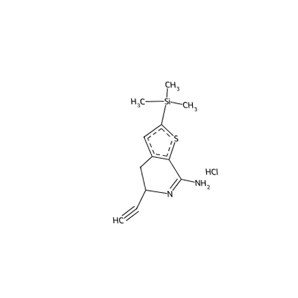 C#CC1Cc2cc([Si](C)(C)C)sc2C(N)=N1.Cl